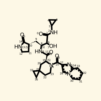 O=C(NC1CC1)C(O)[C@H](C[C@@H]1CCNC1=O)NC(=O)[C@@H]1CC2(CCN1C(=O)c1cn3ccccc3n1)CC2